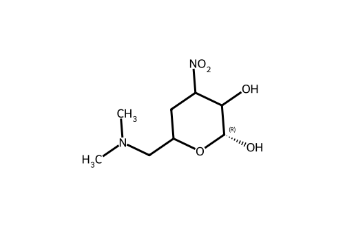 CN(C)CC1CC([N+](=O)[O-])C(O)[C@H](O)O1